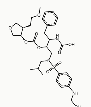 COCC[C@@H]1COC[C@@H]1OC(=O)OC(CN(CC(C)C)S(=O)(=O)c1ccc(NCO)cc1)C(Cc1ccccc1)NC(=O)O